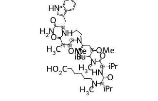 CC[C@H](C)C([C@@H](CC(=O)N1CCC[C@H]1[C@H](OC)[C@@H](C)C(=O)N[C@@H](Cc1c[nH]c2ccccc12)C(N)=O)OC)N(C)C(=O)[C@@H](NC(=O)[C@H](C(C)C)N(C)CCCCCC(=O)O)C(C)C